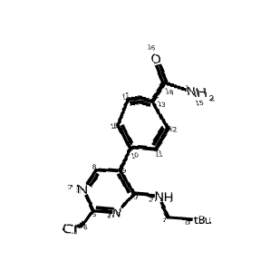 CC(C)(C)CNc1nc(Cl)ncc1-c1ccc(C(N)=O)cc1